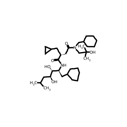 CC(C)C[C@H](O)[C@H](O)[C@H](CC1CCCCC1)NC(=O)[C@@H](CC(=O)N(CC1CCCCC1)CC(C)(C)O)CC1CC1